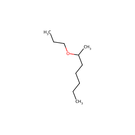 CCCCCC(C)OCCC